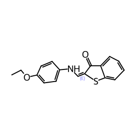 CCOc1ccc(N/C=C2/Sc3ccccc3C2=O)cc1